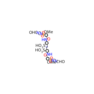 COc1ccc(C(=O)Nc2ccc(/C=C/c3ccc(NC(=O)c4ccc(OC)c(S(=O)(=O)N5CCN(C=O)CC5)c4)cc3S(=O)(=O)O)c(S(=O)(=O)O)c2)cc1S(=O)(=O)N1CCN(C=O)CC1